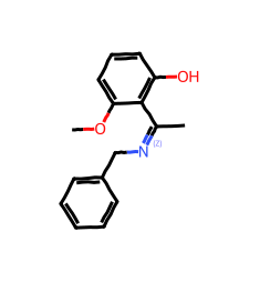 COc1cccc(O)c1/C(C)=N\Cc1ccccc1